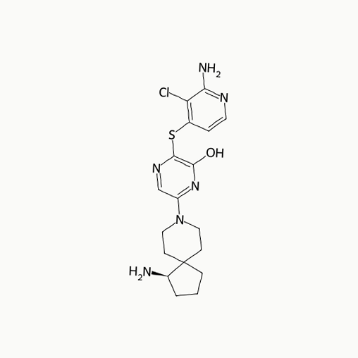 Nc1nccc(Sc2ncc(N3CCC4(CCC[C@H]4N)CC3)nc2O)c1Cl